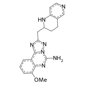 COc1cccc2c1nc(N)n1nc(CC3CCc4cnccc4N3)nc21